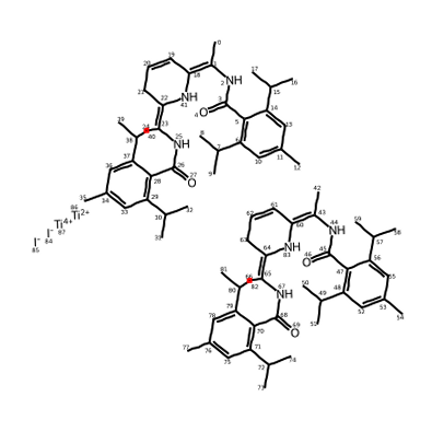 CC(NC(=O)c1c(C(C)C)cc(C)cc1C(C)C)=C1C=CCC(=C(C)NC(=O)c2c(C(C)C)cc(C)cc2C(C)C)N1.CC(NC(=O)c1c(C(C)C)cc(C)cc1C(C)C)=C1C=CCC(=C(C)NC(=O)c2c(C(C)C)cc(C)cc2C(C)C)N1.[I-].[I-].[Ti+2].[Ti+4]